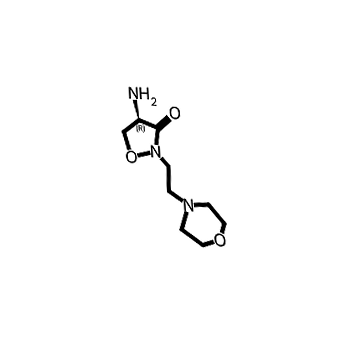 N[C@@H]1CON(CCN2CCOCC2)C1=O